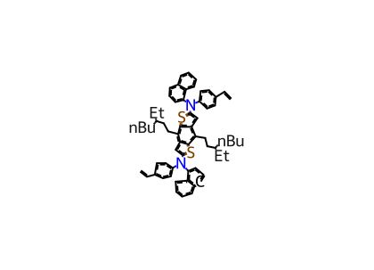 C=Cc1ccc(N(c2cc3c(CCC(CC)CCCC)c4sc(N(c5ccc(C=C)cc5)c5cccc6ccccc56)cc4c(CCC(CC)CCCC)c3s2)c2cccc3ccccc23)cc1